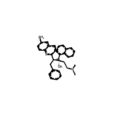 Bc1ccc2nc(C(Cc3ccccc3)[C@](O)(CCN(C)C)c3cccc4ccccc34)ccc2c1